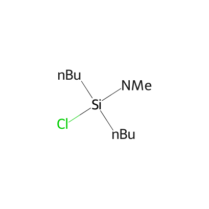 CCCC[Si](Cl)(CCCC)NC